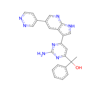 CC(O)(c1ccccc1)c1cc(-c2c[nH]c3ncc(-c4ccnnc4)cc23)nc(N)n1